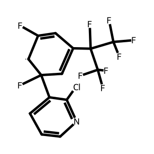 FC1=CC(C(F)(C(F)(F)F)C(F)(F)F)=CC(F)(c2cccnc2Cl)[CH]1